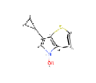 On1cc(C2CC2)c2sccc21